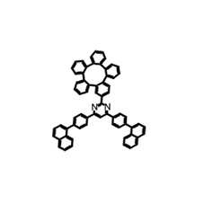 c1ccc2c(-c3ccc(-c4cc(-c5ccc(-c6cccc7ccccc67)cc5)nc(-c5ccc6c7ccccc7c7ccccc7c7ccccc7c7ccccc7c6c5)n4)cc3)cccc2c1